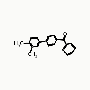 Cc1ccc(-c2ccc(C(=O)c3ccccc3)cc2)cc1C